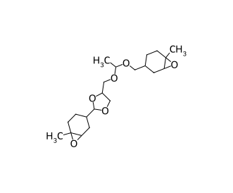 CC(OCC1CCC2(C)OC2C1)OCC1COC(C2CCC3(C)OC3C2)O1